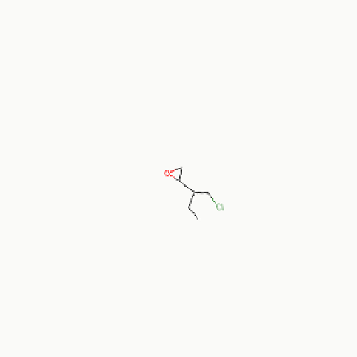 CCC(CCl)C1CO1